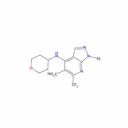 CCn1ncc2c(NC3CCOCC3)c(C(=O)O)c(C(F)(F)F)nc21